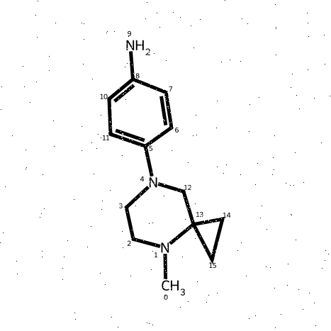 CN1CCN(c2ccc(N)cc2)CC12CC2